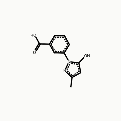 Cc1cc(O)n(-c2cccc(C(=O)O)c2)n1